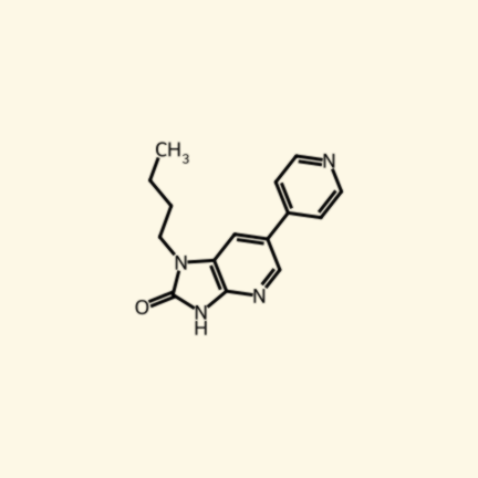 CCCCn1c(=O)[nH]c2ncc(-c3ccncc3)cc21